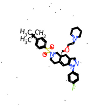 CC(C)(C)c1ccc(S(=O)(=O)N2CCC3=Cc4c(cnn4-c4ccc(F)cc4)C[C@]3(COCCN3CCCCC3)C2)cc1